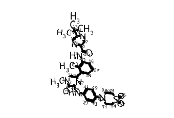 Cc1c(NC(=O)c2cnc(C(C)(C)C)cn2)cccc1-c1cn(C)c(=O)c(Nc2ccc(N3CCS(=O)(=O)CC3)cc2)n1